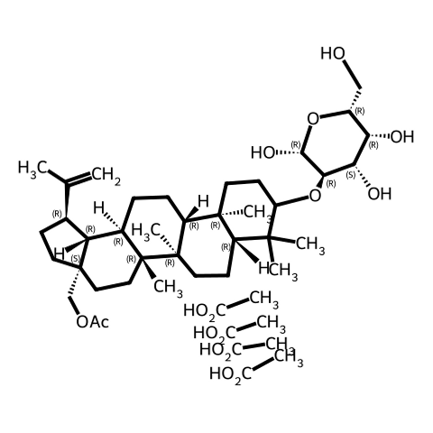 C=C(C)[C@@H]1CC[C@]2(COC(C)=O)CC[C@]3(C)[C@H](CC[C@@H]4[C@@]5(C)CCC(O[C@@H]6[C@@H](O)[C@@H](O)[C@@H](CO)O[C@H]6O)C(C)(C)[C@@H]5CC[C@]43C)[C@@H]12.CC(=O)O.CC(=O)O.CC(=O)O.CC(=O)O